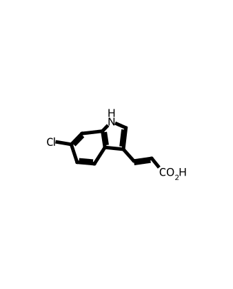 O=C(O)C=Cc1c[nH]c2cc(Cl)ccc12